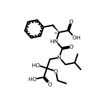 CCOC(O)(CN(CC(C)C)C(=O)N[C@@H](Cc1ccccc1)C(=O)O)C(=O)O